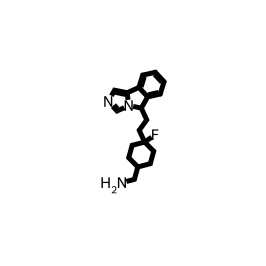 NCC1CCC(F)(CCC2c3ccccc3-c3cncn32)CC1